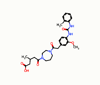 COc1cc(CC(=O)N2CCCN(C(=O)CC(C)CC(=O)O)CC2)ccc1NC(=O)Nc1ccccc1C